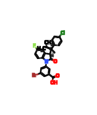 CC(C)[C@@]1(c2ccc(Cl)cc2)C[C@@]12C(=O)N(c1cc(Br)cc(C(=O)O)c1)c1ccc(F)cc12